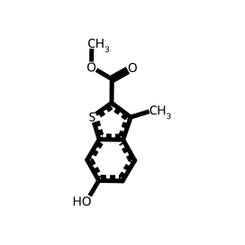 COC(=O)c1sc2cc(O)ccc2c1C